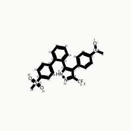 C[S+]([O-])c1ccc(-c2c(C(F)(F)F)n[nH]c2-c2ccccc2-c2ccc(S(C)(=O)=O)cc2)cc1